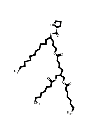 CCCCCCCCCCCCC(CCCOC(=O)CCCCC(COC(=O)CCCCCCC)COC(=O)CCCCCCC)OC(=O)[C@@H]1CCCN1